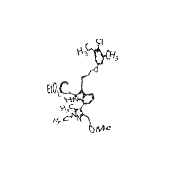 CCOC(=O)c1[nH]c2c(-c3c(COC)nn(C)c3C)cccc2c1CCCOc1cc(C)c(Cl)c(C)c1